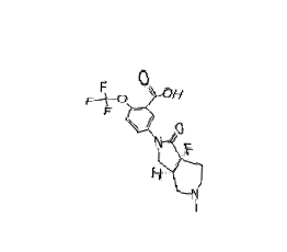 O=C(O)c1cc(N2C[C@@H]3CN(I)CC[C@]3(F)C2=O)ccc1OC(F)(F)F